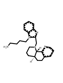 NCCCCn1c(CN2CCC[C@@H]3CCc4cccnc4[C@H]32)nc2ccccc21